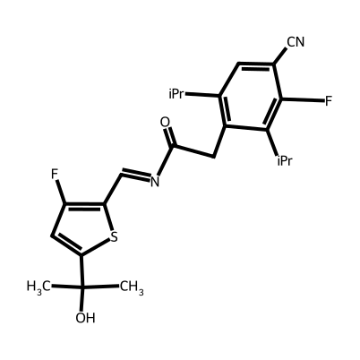 CC(C)c1cc(C#N)c(F)c(C(C)C)c1CC(=O)N=Cc1sc(C(C)(C)O)cc1F